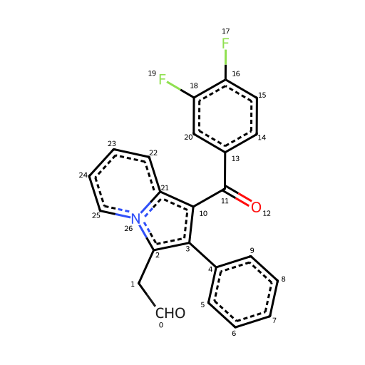 O=CCc1c(-c2ccccc2)c(C(=O)c2ccc(F)c(F)c2)c2ccccn12